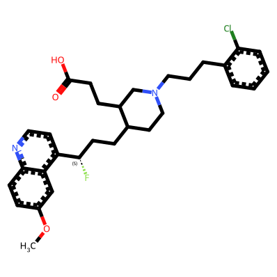 COc1ccc2nccc([C@@H](F)CCC3CCN(CCCc4ccccc4Cl)CC3CCC(=O)O)c2c1